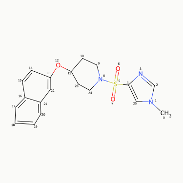 Cn1cnc(S(=O)(=O)N2CCC(Oc3ccc4ccccc4c3)CC2)c1